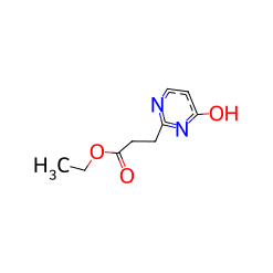 CCOC(=O)CCc1nccc(O)n1